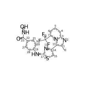 Cc1nc2cccc(C(F)(F)F)n2c1-c1csc(Nc2ccc(C(=O)NO)cc2)n1